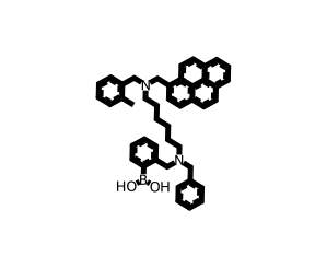 Cc1ccccc1CN(CCCCCCN(Cc1ccccc1)Cc1ccccc1B(O)O)Cc1ccc2ccc3cccc4ccc1c2c34